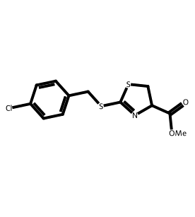 COC(=O)C1CSC(SCc2ccc(Cl)cc2)=N1